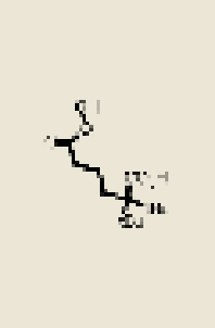 CC(C)(C)C(CCCC(=O)OO)(C(=O)O)C(C)(C)C